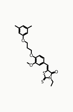 CCN1C(=O)C(=Cc2ccc(OCCCOc3cc(C)cc(C)c3)c(OC)c2)SC1=S